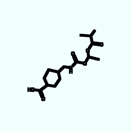 CC(OC(=O)NCC1CCC(C(=O)O)CC1)OC(=O)C(C)C